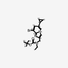 CCN(Cc1cn2cc(C3CC3)cc(Br)c2n1)C(=O)OC(C)(C)C